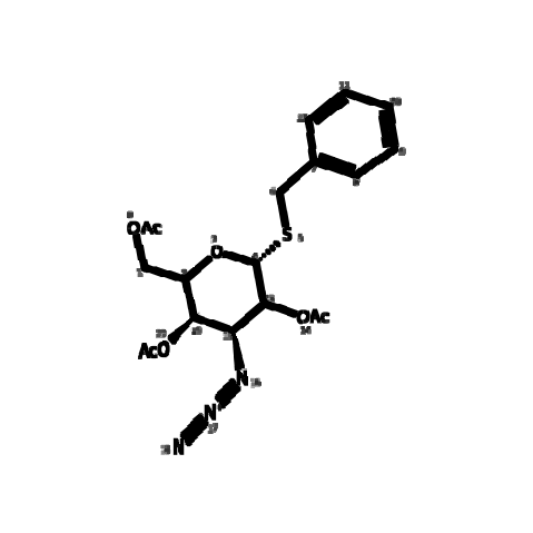 CC(=O)OCC1O[C@H](SCc2ccccc2)C(OC(C)=O)[C@@H](N=[N+]=[N-])[C@H]1OC(C)=O